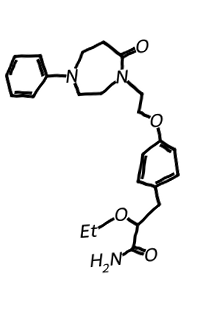 CCOC(Cc1ccc(OCCN2CCN(c3ccccc3)CCC2=O)cc1)C(N)=O